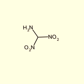 NC([N+](=O)[O-])[N+](=O)[O-]